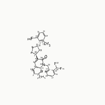 Cc1cnc2cc([C@H]3CC[C@H](c4c(C)cccc4F)C3)c(=O)n(Cc3ncccc3C(F)F)c2n1